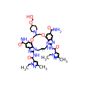 CCn1nc(C)cc1C(=O)Nc1nc2cc(C(N)=O)cc3c2n1C/C=C/Cn1c(NC(=O)c2cc(C)nn2CC)nc2cc(C(N)=O)cc(c21)OCC(N1CCC(OCO)CC1)CO3